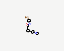 O=C(/C=C/c1cccc(-c2ccc(N3CCCC3)cc2)c1)Nc1ccc(S)cc1